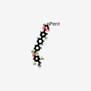 CCCCCC1COC(c2ccc(C3CCC(C4CCC(C(F)(F)Oc5cc(F)c(/C=C/F)c(F)c5)CC4)CC3)c(F)c2)OC1